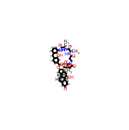 C[C@H](NC(=O)CCN1C(=O)C=CC1=O)C(=O)N[C@@H](C)C(=O)Nc1cccc(Cc2ccc([C@@H](O)O[C@@H]3C[C@H]4[C@@H]5CCC6=CC(=O)C=C[C@]6(C)[C@H]5[C@@H](O)C[C@]4(C)[C@H]3C(=O)CO)cc2O)c1